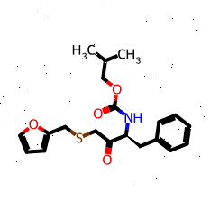 CC(C)COC(=O)N[C@@H](Cc1ccccc1)C(=O)CSCc1ccco1